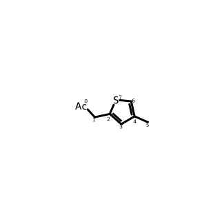 CC(=O)Cc1cc(C)cs1